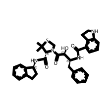 CC1(C)SCN(C(=O)[C@@H](O)[C@H](Cc2ccccc2)NC(=O)c2cccc3c2CCN3)[C@@H]1C(=O)N[C@H]1CCc2ccccc21